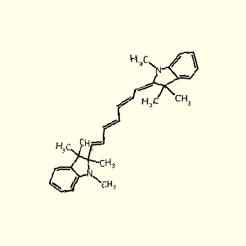 CN1/C(=C/C=C/C=C/C=C/C2(C)N(C)c3ccccc3C2(C)C)C(C)(C)c2ccccc21